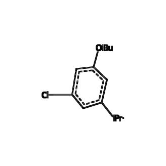 C[C](C)c1cc(Cl)cc(OCC(C)C)c1